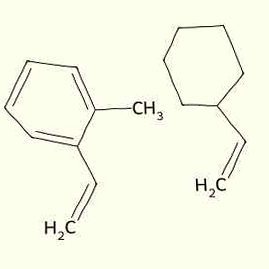 C=CC1CCCCC1.C=Cc1ccccc1C